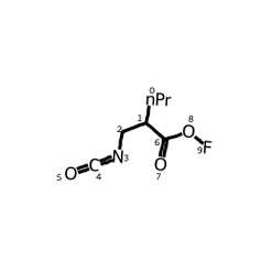 CCCC(CN=C=O)C(=O)OF